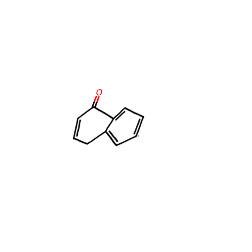 O=C1C=CCc2c[c]ccc21